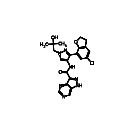 CC(C)(O)Cn1cc(NC(=O)c2n[nH]c3cncnc23)c(-c2cc(Cl)cc3c2OCC3)n1